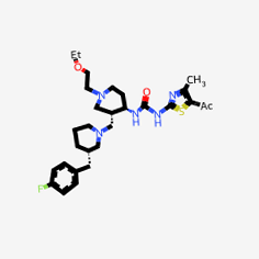 CCOCCN1CC[C@@H](NC(=O)Nc2nc(C)c(C(C)=O)s2)[C@H](CN2CCC[C@@H](Cc3ccc(F)cc3)C2)C1